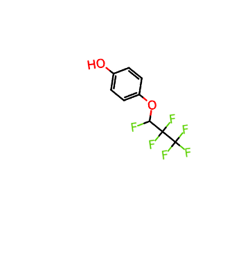 Oc1ccc(OC(F)C(F)(F)C(F)(F)F)cc1